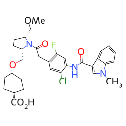 COC[C@H]1CC[C@@H](CO[C@H]2CC[C@H](C(=O)O)CC2)N1C(=O)Cc1cc(Cl)c(NC(=O)c2cn(C)c3ccccc23)cc1F